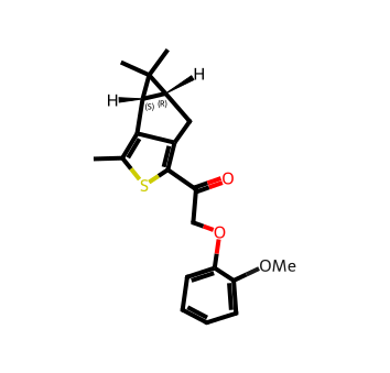 COc1ccccc1OCC(=O)c1sc(C)c2c1C[C@@H]1[C@H]2C1(C)C